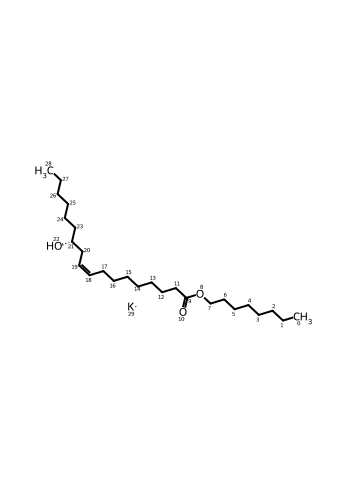 CCCCCCCCOC(=O)CCCCCCC/C=C\C[C@H](O)CCCCCC.[K]